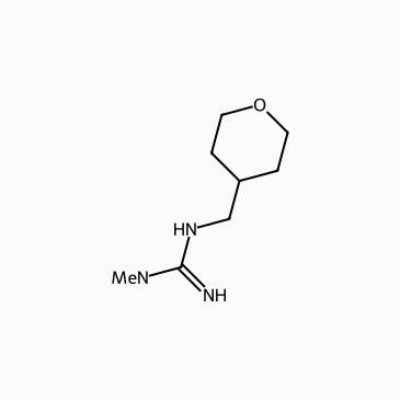 CNC(=N)NCC1CCOCC1